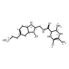 CCN1C(CNC(=O)C2NC(Cl)=C(N)NC2N)NC2CC=C(CCC(=O)O)CC21